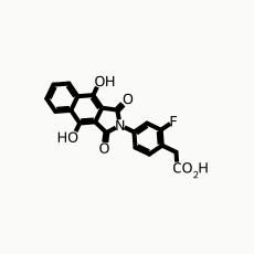 O=C(O)Cc1ccc(N2C(=O)c3c(c(O)c4ccccc4c3O)C2=O)cc1F